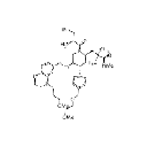 CNC(=O)C(C)(C)C[C@H]1C[C@H](c2ccc(COCCOC)cc2)[C@@H](OCc2ccc3c(c2)N(CCCOC)CCO3)CN1C(=O)[C@@H](N)CC(C)C